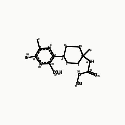 Cc1nc(N2CCC(C)(NC(=O)OC(C)(C)C)CC2)c(C(=O)O)nc1Br